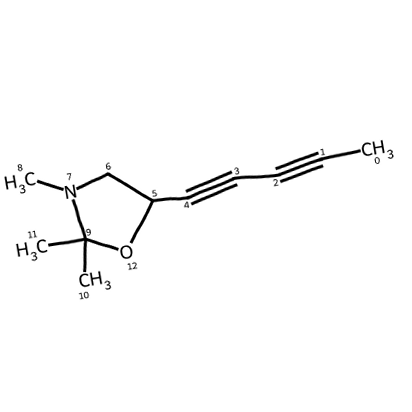 CC#CC#CC1CN(C)C(C)(C)O1